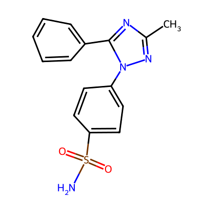 Cc1nc(-c2ccccc2)n(-c2ccc(S(N)(=O)=O)cc2)n1